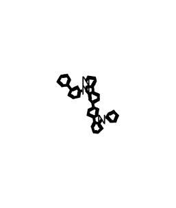 c1ccc(-c2cccc(-n3c4cc(-c5ccc6c7ccccc7n(-c7ccccc7)c6c5)ccc4c4cccnc43)c2)cc1